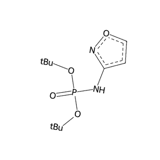 CC(C)(C)OP(=O)(Nc1ccon1)OC(C)(C)C